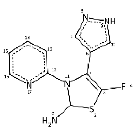 NC1SC(F)=C(c2cn[nH]c2)N1c1ccccn1